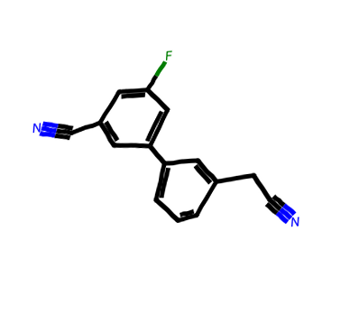 N#CCc1cccc(-c2cc(F)cc(C#N)c2)c1